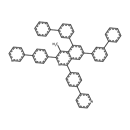 Cc1c(-c2ccc(-c3cccnc3)cc2)nc(-c2ccc(-c3cccnc3)cc2)c2cc(-c3cccc(-c4ccccc4)c3)cc(-c3cccc(-c4ccccc4)c3)c12